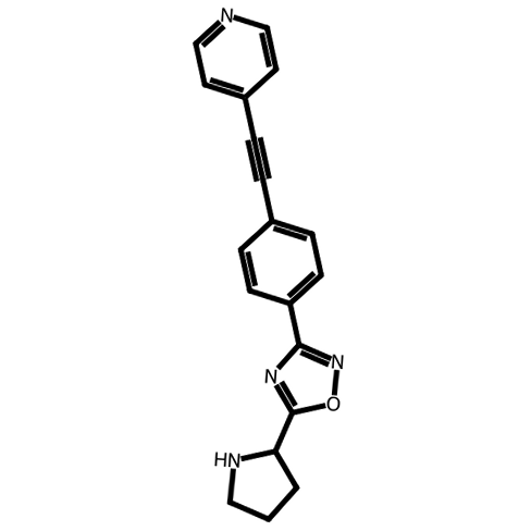 C(#Cc1ccc(-c2noc(C3CCCN3)n2)cc1)c1ccncc1